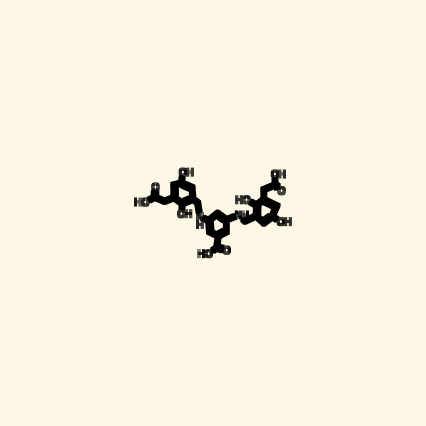 O=C(O)Cc1cc(O)cc(CNc2cc(NCc3cc(O)cc(CC(=O)O)c3O)cc(C(=O)O)c2)c1O